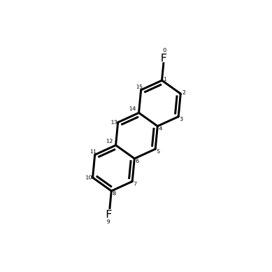 Fc1ccc2cc3cc(F)ccc3cc2c1